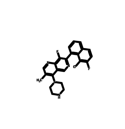 Cc1cnc2c(F)c(-c3cccc4ccc(F)c(Cl)c34)ncc2c1N1CCNCC1